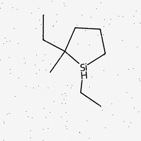 CC[SiH]1CCCC1(C)CC